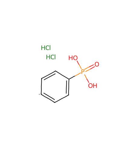 Cl.Cl.O=P(O)(O)c1cc[c]cc1